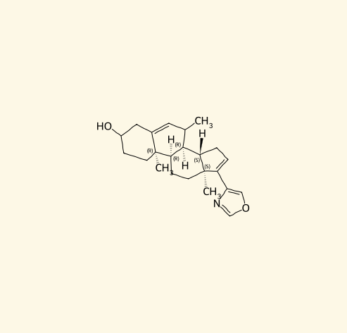 CC1C=C2CC(O)CC[C@]2(C)[C@@H]2CC[C@]3(C)C(c4cocn4)=CC[C@H]3[C@H]12